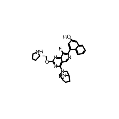 Oc1cc(-c2ncc3c(N4CC5CCC(C4)N5)nc(OC[C@@H]4CCCN4)nc3c2F)c2ccccc2c1